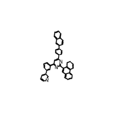 C1=Cc2c(c(-c3nc(-c4ccc(-c5ccc6ccccc6c5)cc4)cc(-c4cccc(-c5cccnc5)c4)n3)cc3ccccc23)CC1